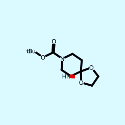 CC(C)(C)OC(=O)N1CCC2(OCCO2)C2(CCNC2)C1